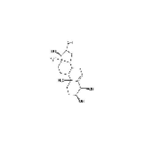 CC12CC[C@H](O)[C@H](O)C1=CCC1C2CCC2(C)C1C[C@@H](O)[C@@H]2O